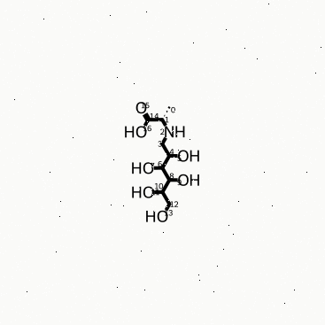 C[C@H](NCC(O)C(O)C(O)C(O)CO)C(=O)O